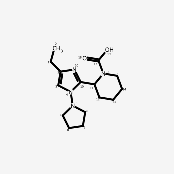 CCc1cn(N2CCCC2)c(C2CCCCN2C(=O)O)n1